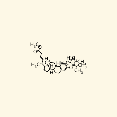 COC(=O)CC=C[C@@H](C)C1=CC[C@H]2[C@@H]3CCc4cc(O[Si](C(C)C)(C(C)C)C(C)C)ccc4[C@H]3CC[C@]12C